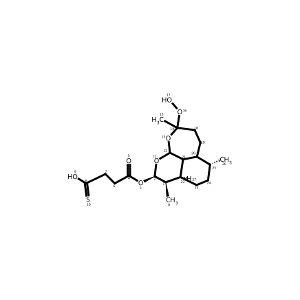 C[C@H]1[C@@H](OC(=O)CCC(O)=S)OC2OC(C)(OO)CCC3C2[C@H]1CC[C@H]3C